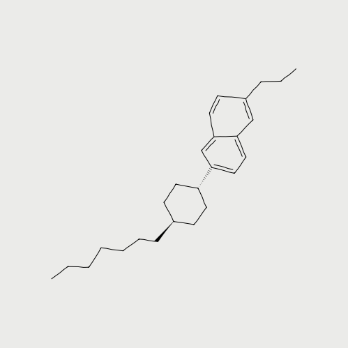 CCCCCCC[C@H]1CC[C@H](c2ccc3cc(CCC)ccc3c2)CC1